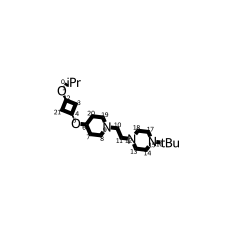 CC(C)O[C@H]1C[C@H](OC2CCN(CCN3CCN(C(C)(C)C)CC3)CC2)C1